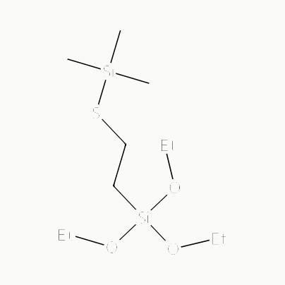 CCO[Si](CCS[Si](C)(C)C)(OCC)OCC